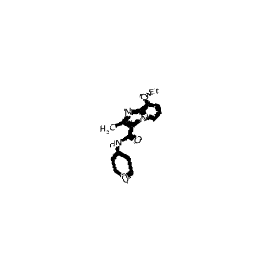 CCOc1cccn2c(C(=O)NC3CCOCC3)c(C)nc12